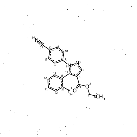 CCOC(=O)c1cnn(-c2ccc(C#N)cc2)c1-c1ccccc1F